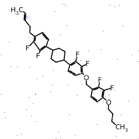 C/C=C/CCc1ccc(C2CCC(c3ccc(OCc4ccc(OCCCC)c(F)c4F)c(F)c3F)CC2)c(F)c1F